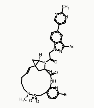 CC(=O)c1nn(CC(=O)N2[C@H]3C[C@@]4(/C=C/CCCN(C)S(=O)(=O)Cc5ccc(Br)nc5NC3=O)C[C@@H]24)c2ccc(-c3cnc(C)nc3)cc12